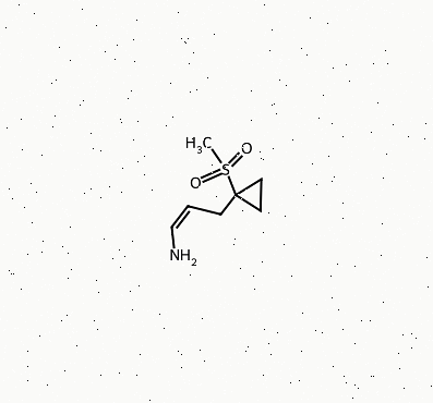 CS(=O)(=O)C1(C/C=C\N)CC1